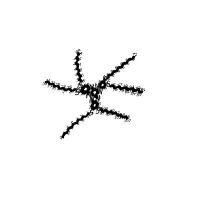 CCCCCCCCCCCCSc1cc2nc3c4nc5cc(SCCCCCCCCCCCC)c(SCCCCCCCCCCCC)cc5nc4c4nc5cc(SCCCCCCCCCCCC)c(SCCCCCCCCCCCC)cc5nc4c3nc2cc1SCCCCCCCCCCCC